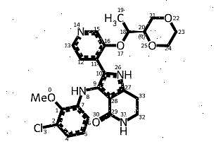 COc1c(Cl)cccc1Nc1c(-c2ccncc2OC(C)[C@H]2COCCO2)[nH]c2c1C(=O)NCC2